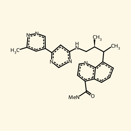 CNC(=O)c1ccnc2c(C(C)[C@H](C)CNc3cc(-c4cnnc(C)c4)ncn3)cccc12